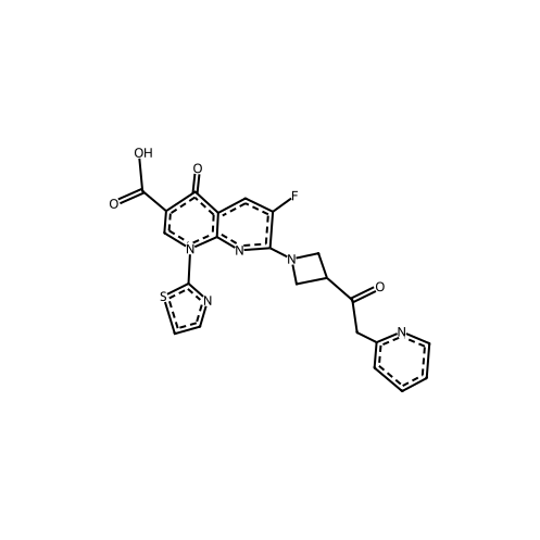 O=C(O)c1cn(-c2nccs2)c2nc(N3CC(C(=O)Cc4ccccn4)C3)c(F)cc2c1=O